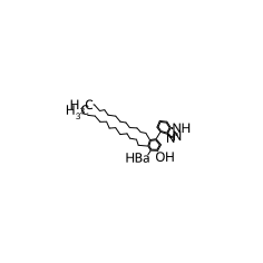 CCCCCCCCCCCCc1c(-c2cccc3[nH]nnc23)cc(O)[c]([BaH])c1CCCCCCCCCCCC